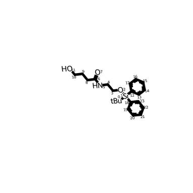 CC(C)(C)[Si](OCCNC(=O)CCCO)(c1ccccc1)c1ccccc1